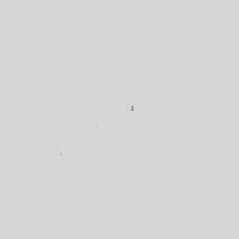 C=C/C(N)=C\CN